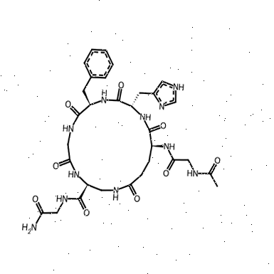 CC(=O)NCC(=O)N[C@H]1CCC(=O)NC[C@@H](C(=O)NCC(N)=O)NC(=O)CNC(=O)[C@@H](Cc2ccccc2)NC(=O)[C@H](Cc2c[nH]cn2)NC1=O